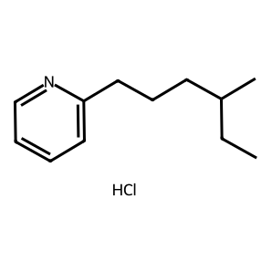 CCC(C)CCCc1ccccn1.Cl